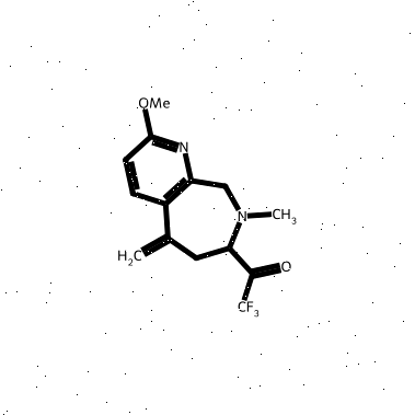 C=C1CC(C(=O)C(F)(F)F)N(C)Cc2nc(OC)ccc21